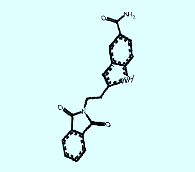 NC(=O)c1ccc2[nH]c(CCN3C(=O)c4ccccc4C3=O)cc2c1